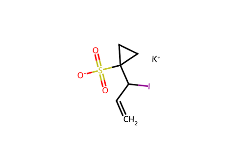 C=CC(I)C1(S(=O)(=O)[O-])CC1.[K+]